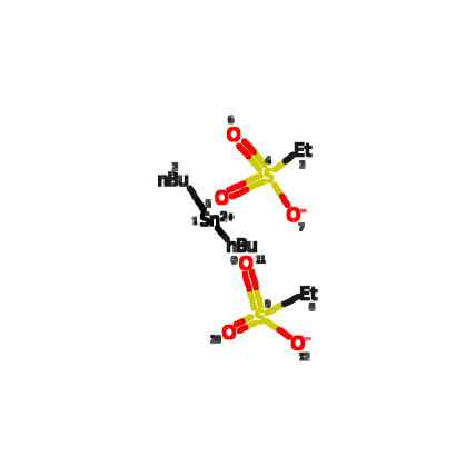 CCC[CH2][Sn+2][CH2]CCC.CCS(=O)(=O)[O-].CCS(=O)(=O)[O-]